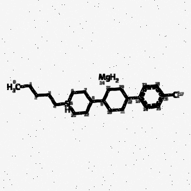 CCCCC[SiH]1CCC(C2CCC(c3ccc(Cl)cc3)CC2)CC1.[MgH2]